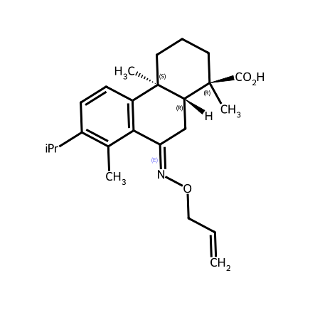 C=CCO/N=C1\C[C@H]2[C@](C)(C(=O)O)CCC[C@]2(C)c2ccc(C(C)C)c(C)c21